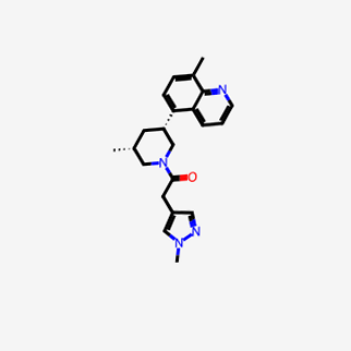 Cc1ccc([C@H]2C[C@@H](C)CN(C(=O)Cc3cnn(C)c3)C2)c2cccnc12